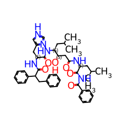 CC(C)C[C@H](NC(=O)C[C@H](O)[C@H](CC(C)C)NC(=O)[C@H](Cc1c[nH]cn1)NC(=O)C(Cc1ccccc1)c1ccccc1)C(=O)NC(=O)c1ccccc1